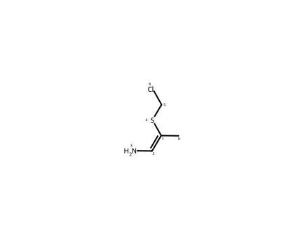 C/C(=C/N)SCCl